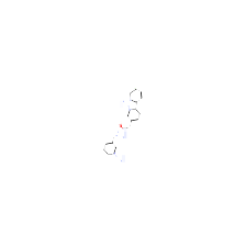 Nc1cccc(CNC(=O)Cc2ccc3c(c2)[nH]c2cc(F)ccc23)c1